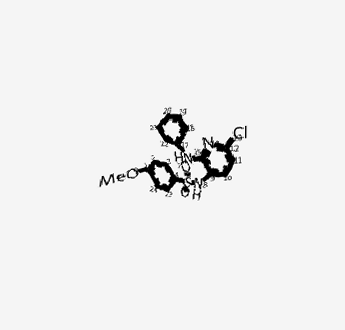 COc1ccc(S(=O)(=O)Nc2ccc(Cl)nc2Nc2ccccc2)cc1